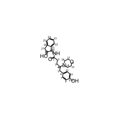 O=C(CC[C@H](Cc1ccc(O)cc1)N1CCOCC1)N[C@@H]1c2ccccc2C[C@@H]1O